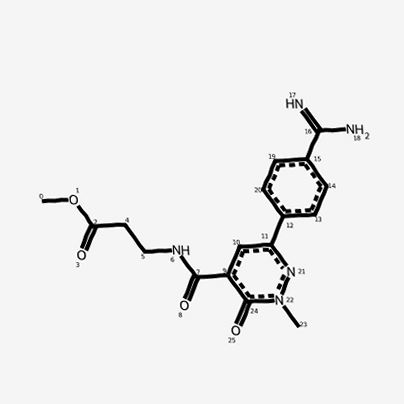 COC(=O)CCNC(=O)c1cc(-c2ccc(C(=N)N)cc2)nn(C)c1=O